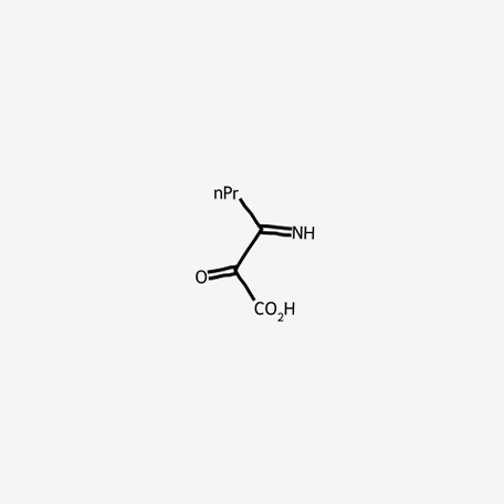 CCCC(=N)C(=O)C(=O)O